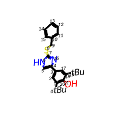 CC(C)(C)c1cc(-c2c[nH]c(SCc3ccccc3)n2)cc(C(C)(C)C)c1O